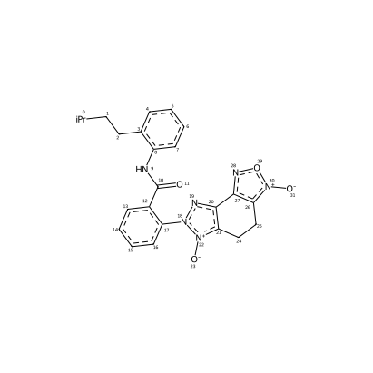 CC(C)CCc1ccccc1NC(=O)c1ccccc1-n1nc2c([n+]1[O-])CCc1c-2no[n+]1[O-]